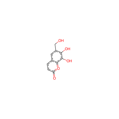 O=c1ccc2cc(CO)c(O)c(O)c2o1